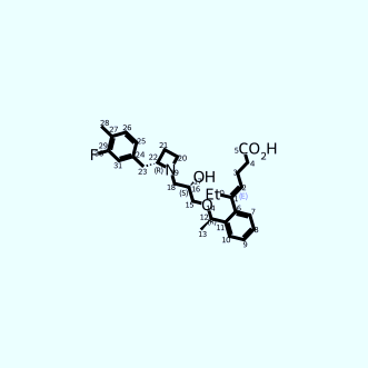 CC/C(=C\CCC(=O)O)c1ccccc1[C@@H](C)OC[C@@H](O)CN1CC[C@H]1Cc1ccc(C)c(F)c1